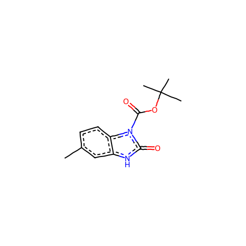 Cc1ccc2c(c1)[nH]c(=O)n2C(=O)OC(C)(C)C